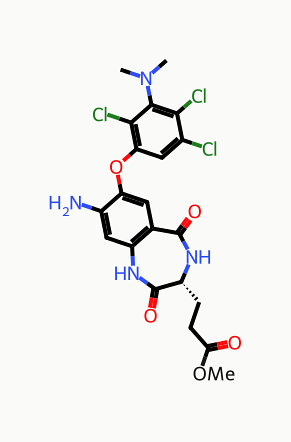 COC(=O)CC[C@H]1NC(=O)c2cc(Oc3cc(Cl)c(Cl)c(N(C)C)c3Cl)c(N)cc2NC1=O